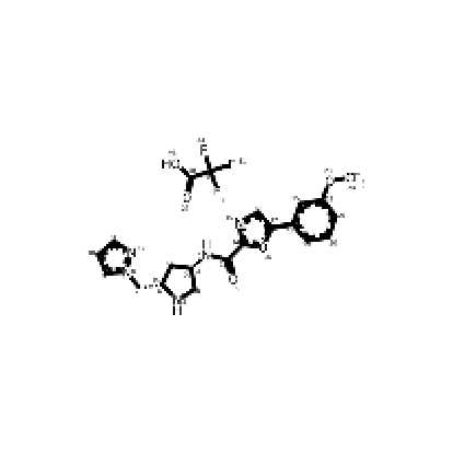 O=C(N[C@H]1CN[C@H](Cn2cccn2)C1)c1ncc(-c2cccc(OC(F)(F)F)c2)o1.O=C(O)C(F)(F)F